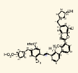 COc1cc(/C=C/c2cccc(-c3cccc(-c4nc5cc(CN6CC[C@@H](O)C6)cc(Cl)c5o4)c3C)c2C)c(C(F)(F)F)cc1CN1CC[C@@H](C(=O)O)C1